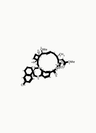 COC(=O)C[C@@H]1[C@@H](C)C/C=C/[C@H](OC)[C@@H]2CC[C@H]2CN2C[C@@]3(CCCc4cc(Cl)ccc43)COc3ccc(cc32)C(=O)NS1(=O)=O